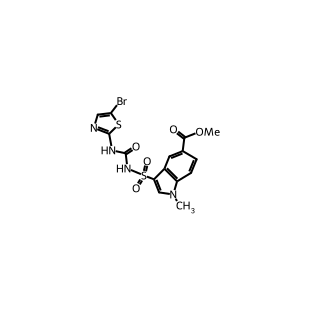 COC(=O)c1ccc2c(c1)c(S(=O)(=O)NC(=O)Nc1ncc(Br)s1)cn2C